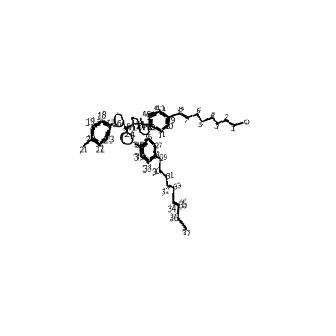 CCCCCCCCCc1ccc(OPC(Oc2ccc(C)cc2)Oc2ccc(CCCCCCCCC)cc2)cc1